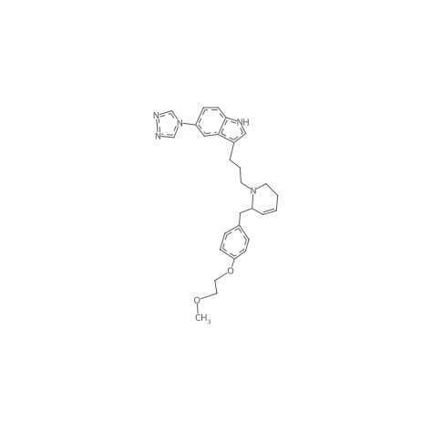 COCCOc1ccc(CC2C=CCCN2CCCc2c[nH]c3ccc(-n4cnnc4)cc23)cc1